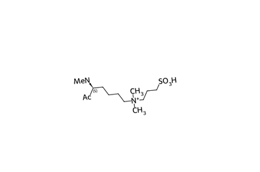 CN[C@@H](CCCC[N+](C)(C)CCCS(=O)(=O)O)C(C)=O